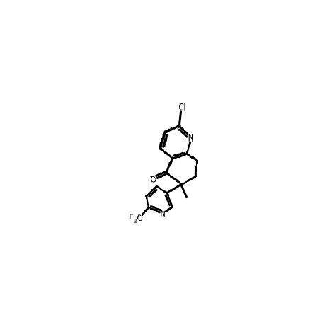 CC1(c2ccc(C(F)(F)F)nc2)CCc2nc(Cl)ccc2C1=O